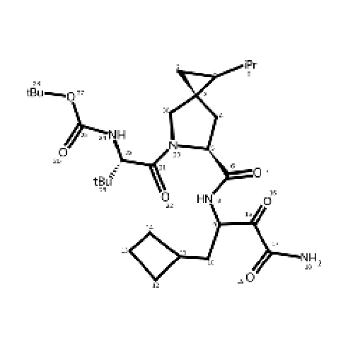 CC(C)C1C[C@]12C[C@@H](C(=O)NC(CC1CCC1)C(=O)C(N)=O)N(C(=O)[C@@H](NC(=O)OC(C)(C)C)C(C)(C)C)C2